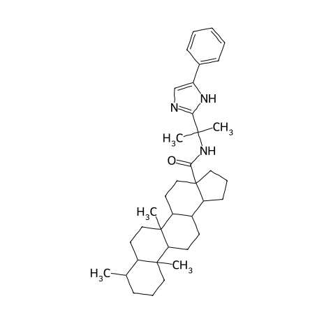 CC1CCCC2(C)C1CCC1(C)C3CCC4(C(=O)NC(C)(C)c5ncc(-c6ccccc6)[nH]5)CCCC4C3CCC21